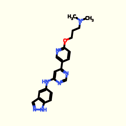 CN(C)CCCOc1ccc(-c2cc(Nc3ccc4[nH]ncc4c3)ncn2)cn1